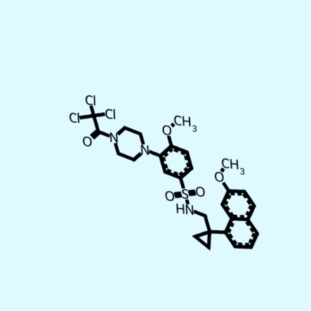 COc1ccc2cccc(C3(CNS(=O)(=O)c4ccc(OC)c(N5CCN(C(=O)C(Cl)(Cl)Cl)CC5)c4)CC3)c2c1